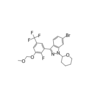 COCOc1cc(C(F)(F)F)cc(-c2nn(C3CCCCO3)c3cc(Br)ccc23)c1F